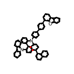 c1ccc(N(c2ccc(-c3ccc(-c4cccc5c4oc4ccccc45)cc3)cc2)c2ccc(-c3cccc4ccccc34)cc2)c(-c2ccccc2-n2c3ccccc3c3ccccc32)c1